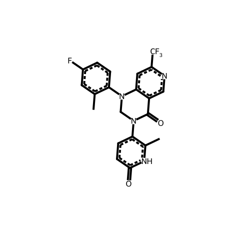 Cc1cc(F)ccc1N1CN(c2ccc(=O)[nH]c2C)C(=O)c2cnc(C(F)(F)F)cc21